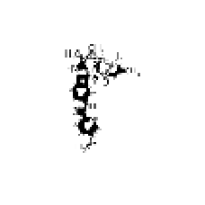 CCN(C[C@@]1(NC(=N)N(C)[S+](C)[O-])Cc2ccc(NC(=O)c3ccc(OC)cn3)cc21)S(=O)(=O)CC(C)C